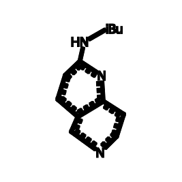 CCC(C)Nc1ccc2cnccc2n1